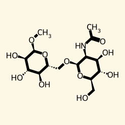 CO[C@H]1O[C@H](CO[C@@H]2O[C@H](CO)[C@@H](O)[C@H](O)[C@@H]2NC(C)=O)[C@@H](O)[C@H](O)[C@H]1O